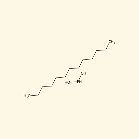 CCCCCCCCCCCCC.OPO